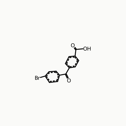 O=C(O)c1ccc(C(=O)c2ccc(Br)cc2)cc1